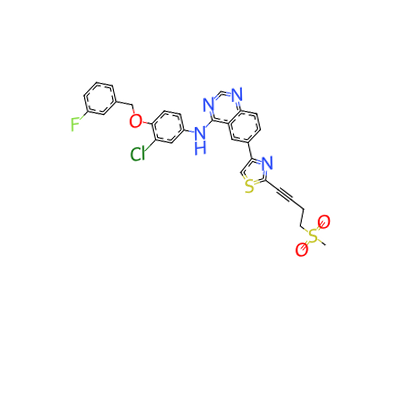 CS(=O)(=O)CCC#Cc1nc(-c2ccc3ncnc(Nc4ccc(OCc5cccc(F)c5)c(Cl)c4)c3c2)cs1